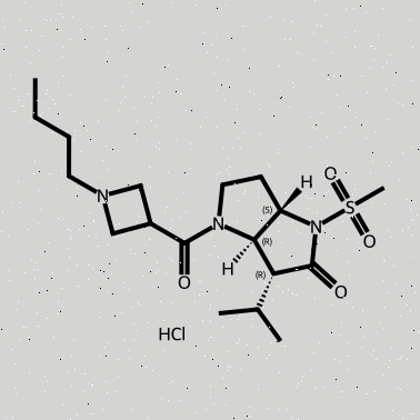 CCCCN1CC(C(=O)N2CC[C@H]3[C@H]2[C@@H](C(C)C)C(=O)N3S(C)(=O)=O)C1.Cl